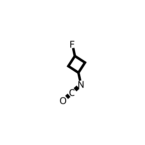 O=C=NC1CC(F)C1